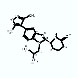 Cc1noc(C)c1-c1ccc2c(c1)nc([C@@H]1CCCC(=O)N1)n2CC(C)C